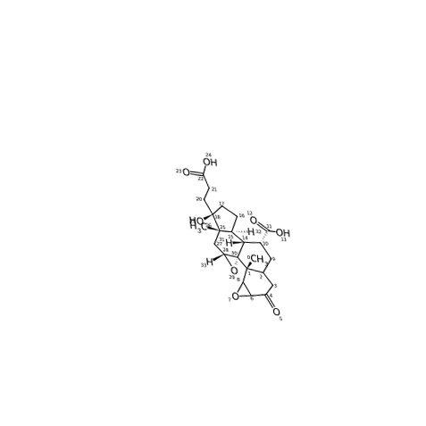 C[C@@]12C(CC(=O)C3OC31)C[C@@H](C(=O)O)[C@H]1[C@@H]3CC[C@@](O)(CCC(=O)O)[C@@]3(C)C[C@H]3O[C@@]132